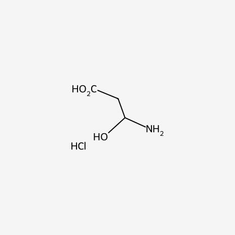 Cl.NC(O)CC(=O)O